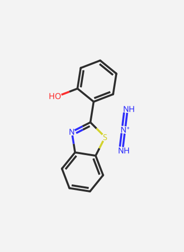 N=[N+]=N.Oc1ccccc1-c1nc2ccccc2s1